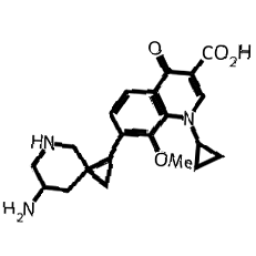 COc1c(C2CC23CNCC(N)C3)ccc2c(=O)c(C(=O)O)cn(C3CC3)c12